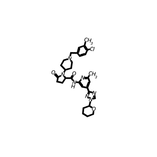 Cc1cc(-c2ncn(C3CCCCO3)n2)cc(NC(=O)C2CCC(=O)N2C2CCN(Cc3ccc(Cl)c(C)c3)CC2)n1